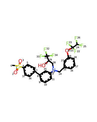 CS(=O)(=O)c1ccc(-c2cccc(N(Cc3cccc(OC(F)(F)C(F)F)c3)CC(O)C(F)(F)F)c2)cc1